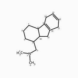 CN(C)CC1CCCC2C3=C(CC=CC3)CC12